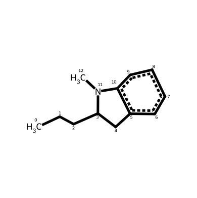 CCCC1Cc2ccccc2N1C